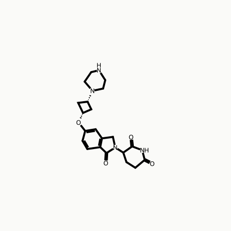 O=C1CCC(N2Cc3cc(O[C@H]4C[C@@H](N5CCNCC5)C4)ccc3C2=O)C(=O)N1